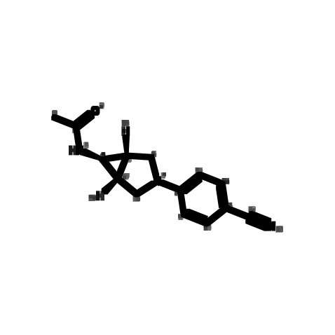 CC(=O)N[C@H]1[C@@H]2CN(c3ccc(C#N)cc3)C[C@@H]21